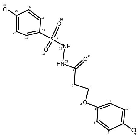 O=C(CCOc1ccc(Cl)cc1)NNS(=O)(=O)c1ccc(Cl)cc1